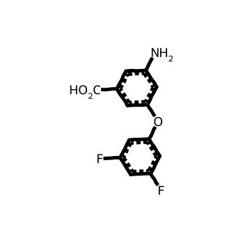 Nc1cc(Oc2cc(F)cc(F)c2)cc(C(=O)O)c1